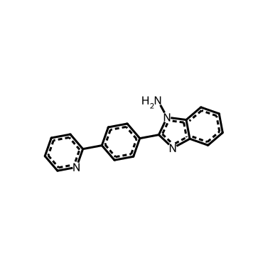 Nn1c(-c2ccc(-c3ccccn3)cc2)nc2ccccc21